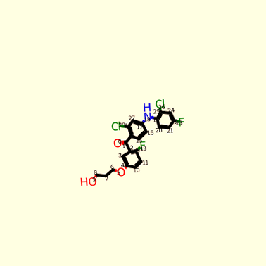 O=C(c1cc(OCCCO)ccc1F)c1ccc(Nc2ccc(F)cc2Cl)cc1Cl